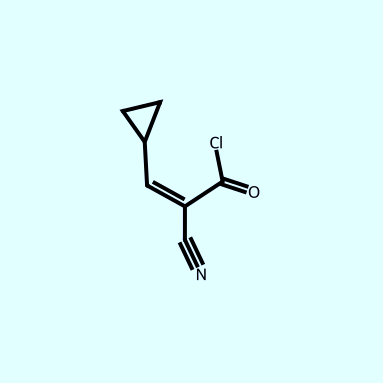 N#C/C(=C/C1CC1)C(=O)Cl